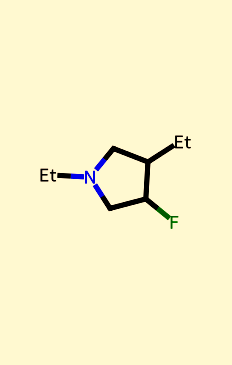 CCC1CN(CC)CC1F